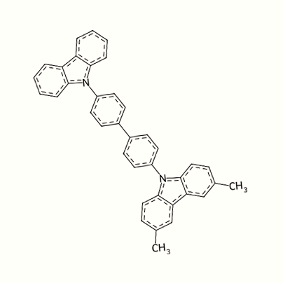 Cc1ccc2c(c1)c1cc(C)ccc1n2-c1ccc(-c2ccc(-n3c4ccccc4c4ccccc43)cc2)cc1